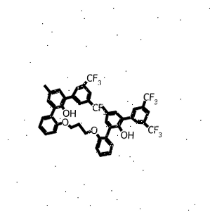 Cc1cc(-c2cc(C(F)(F)F)cc(C(F)(F)F)c2)c(O)c(-c2ccccc2OCCCOc2ccccc2-c2cc(C)cc(-c3cc(C(F)(F)F)cc(C(F)(F)F)c3)c2O)c1